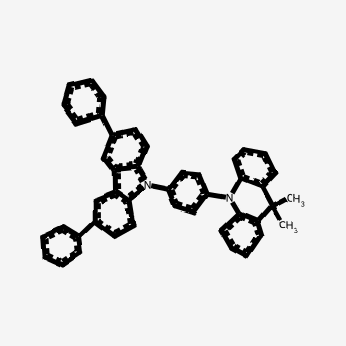 CC1(C)c2ccccc2N(c2ccc(-n3c4ccc(-c5ccccc5)cc4c4cc(-c5ccccc5)ccc43)cc2)c2ccccc21